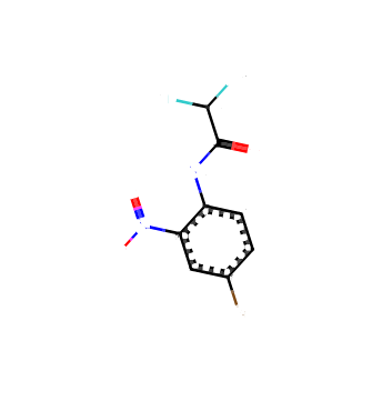 O=C(Nc1ccc(Br)cc1[N+](=O)[O-])C(F)F